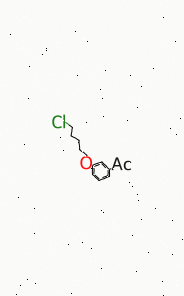 CC(=O)c1cccc(OCCCCCCl)c1